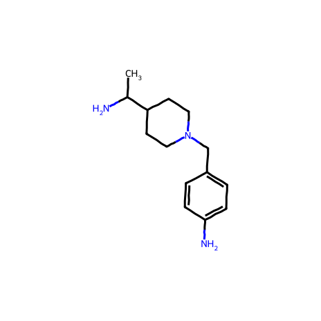 CC(N)C1CCN(Cc2ccc(N)cc2)CC1